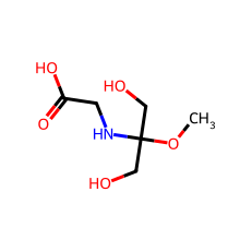 COC(CO)(CO)NCC(=O)O